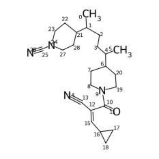 CC(CCC(C)C1CCN(C(=O)/C(C#N)=C\C2CC2)CC1)C1CCN(C#N)CC1